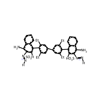 [H]/N=N/c1c(S(=O)(=O)O)c(-c2c(CC)cc(-c3cc(CC)c(-c4c(S(=O)(=O)O)c(/N=N/[H])c(N)c5ccccc45)c(CC)c3)cc2CC)c2ccccc2c1N